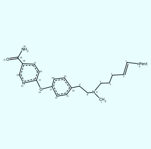 CCCCC/C=C/CCCN(C)CCc1ccc(Oc2ccc(C(N)=O)cn2)cc1